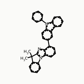 CC1(C)c2ccccc2-n2c1nc1c(-c3ccc4c(c3)c3ccccc3n4-c3ccccc3)cccc12